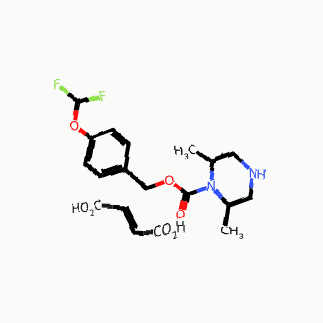 CC1CNCC(C)N1C(=O)OCc1ccc(OC(F)F)cc1.O=C(O)/C=C/C(=O)O